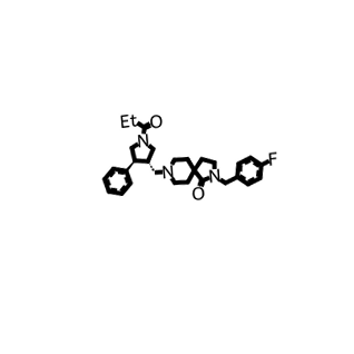 CCC(=O)N1C[C@H](CN2CCC3(CC2)CCN(Cc2ccc(F)cc2)C3=O)[C@@H](c2ccccc2)C1